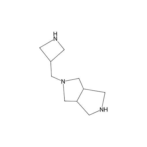 C1NCC1CN1CC2CNCC2C1